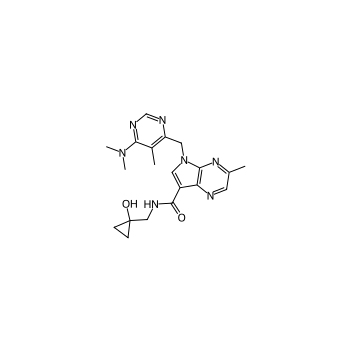 Cc1cnc2c(C(=O)NCC3(O)CC3)cn(Cc3ncnc(N(C)C)c3C)c2n1